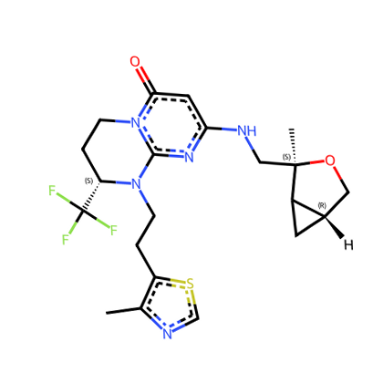 Cc1ncsc1CCN1c2nc(NC[C@@]3(C)OC[C@@H]4CC43)cc(=O)n2CC[C@H]1C(F)(F)F